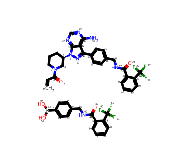 C=CC(=O)N1CCC[C@@H](n2nc(-c3ccc(CNC(=O)c4ccccc4C(F)(F)F)cc3)c3c(N)ncnc32)C1.O=C(NCc1ccc(B(O)O)cc1)c1ccccc1C(F)(F)F